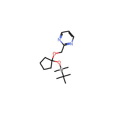 CC(C)(C)[Si](C)(C)OC1(OCc2ncccn2)CCCC1